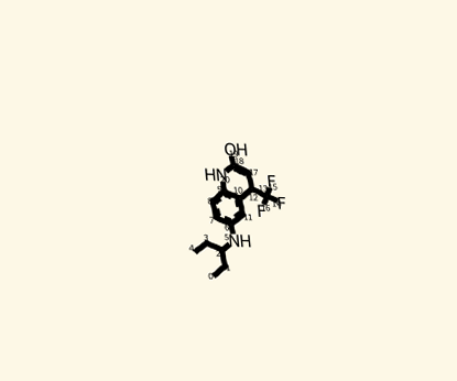 CCC(CC)Nc1ccc2c(c1)C(C(F)(F)F)C=C(O)N2